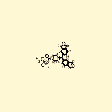 O=C(OC(C(F)(F)F)C(F)(F)F)N1CCN(C(c2ccc3c(c2)COC3)c2ccc3c(c2)COC3)CC1